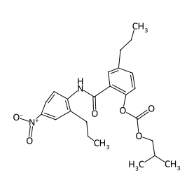 CCCc1ccc(OC(=O)OCC(C)C)c(C(=O)Nc2ccc([N+](=O)[O-])cc2CCC)c1